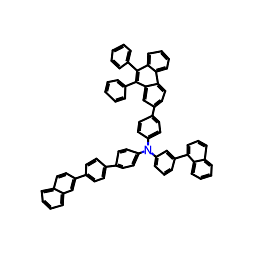 c1ccc(-c2c(-c3ccccc3)c3cc(-c4ccc(N(c5ccc(-c6ccc(-c7ccc8ccccc8c7)cc6)cc5)c5cccc(-c6cccc7ccccc67)c5)cc4)ccc3c3ccccc23)cc1